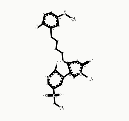 CCS(=O)(=O)c1cnc(Cl)c(-c2cn(C)c(=O)cc2OCCCCc2cc(OC)ccc2Cl)c1